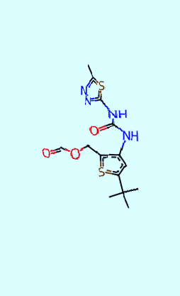 Cc1nnc(NC(=O)Nc2cc(C(C)(C)C)sc2COC=O)s1